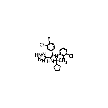 CC1(C2CCCC2)NC(c2nn[nH]n2)=C(c2ccc(F)c(Cl)c2)N1c1cccc(Cl)c1F